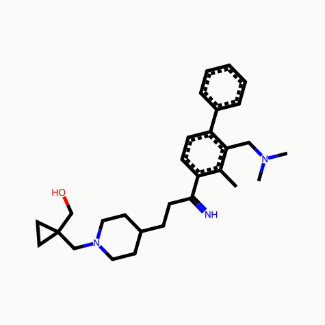 Cc1c(C(=N)CCC2CCN(CC3(CO)CC3)CC2)ccc(-c2ccccc2)c1CN(C)C